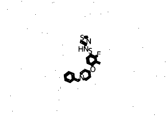 Cc1c(OC2CCN(Cc3ccccc3)CC2)ccc(SNc2cscn2)c1F